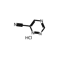 Cl.N#Cc1cncnn1